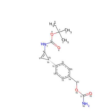 CC(C)(C)OC(=O)NC1=C[C@H]1c1ccc(COC(N)=O)cc1